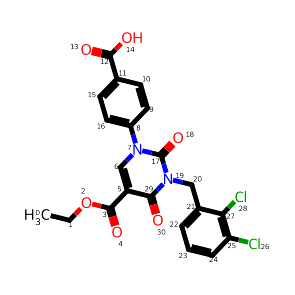 CCOC(=O)c1cn(-c2ccc(C(=O)O)cc2)c(=O)n(Cc2cccc(Cl)c2Cl)c1=O